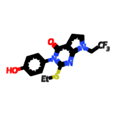 CCSc1nc2c(ccn2CC(F)(F)F)c(=O)n1-c1ccc(O)cc1